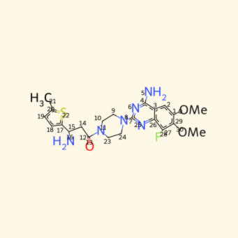 COc1cc2c(N)nc(N3CCN(C(=O)CC(N)c4ccc(C)s4)CC3)nc2c(F)c1OC